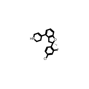 C[C@]1(c2ccc(Cl)cc2F)Cc2c(cccc2C2=CCNCC2)O1